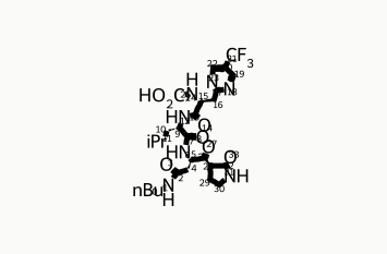 CCCCNC(=O)C[C@H](NC(=O)[C@H](CC(C)C)NC(=O)[C@H](Cc1ncc(C(F)(F)F)cn1)NC(=O)O)C(=O)[C@@H]1CCNC1=O